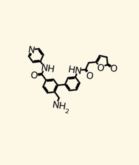 NCc1ccc(C(=O)Nc2ccncc2)cc1-c1cccc(NC(=O)CC2=CCC(=O)O2)c1